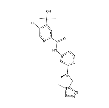 C[C@H](Cc1nncn1C)c1cccc(NC(=O)c2cc(C(C)(C)O)c(Cl)cn2)c1